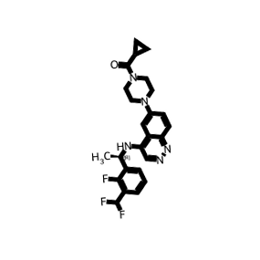 C[C@@H](Nc1cnnc2ccc(N3CCN(C(=O)C4CC4)CC3)cc12)c1cccc(C(F)F)c1F